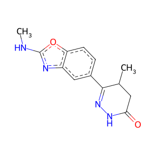 CNc1nc2cc(C3=NNC(=O)CC3C)ccc2o1